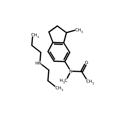 CC(=O)N(C)c1ccc2c(c1)C(C)CC2.CCCNCCC